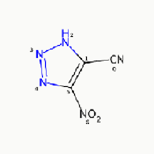 N#Cc1[nH]nnc1[N+](=O)[O-]